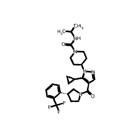 CC(C)NC(=O)N1CCC(n2ncc(C(=O)N3CC[C@H](c4ccccc4C(F)(F)F)C3)c2C2CC2)CC1